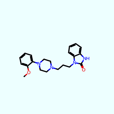 COc1ccccc1N1CCN(CCCn2c(=O)[nH]c3ccccc32)CC1